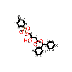 Cc1ccc(S(=O)(=O)OCC(O)CC(=O)OC(c2ccccc2)c2ccccc2)cc1